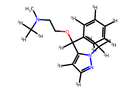 [2H]c1nn(C([2H])([2H])[2H])c(C([2H])(OCCN(C)C([2H])([2H])[2H])c2c([2H])c([2H])c([2H])c([2H])c2[2H])c1[2H]